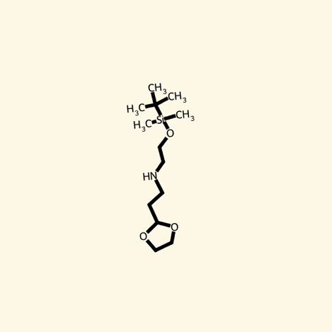 CC(C)(C)[Si](C)(C)OCCNCCC1OCCO1